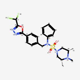 C[C@@H]1CN(S(=O)(=O)N(Cc2ccc(-c3nnc(C(F)F)o3)cc2)c2ccccc2)C[C@H](C)N1C